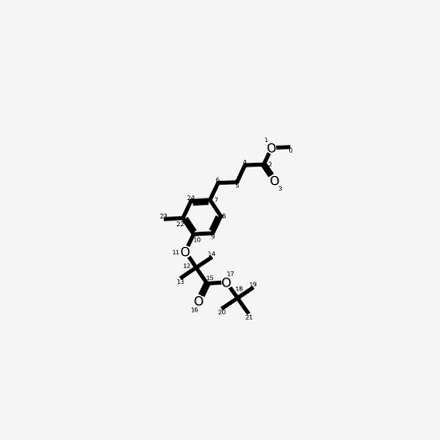 COC(=O)CCCc1ccc(OC(C)(C)C(=O)OC(C)(C)C)c(C)c1